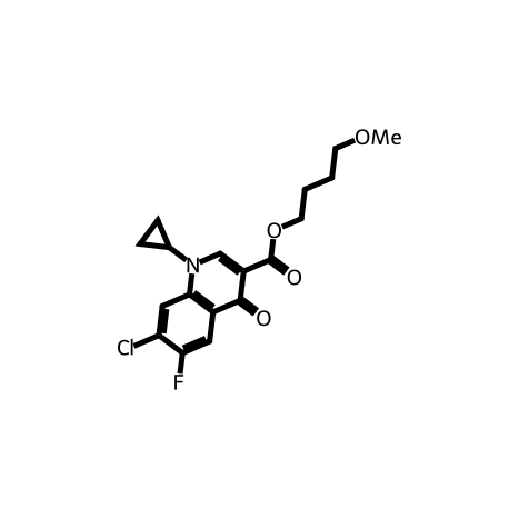 COCCCCOC(=O)c1cn(C2CC2)c2cc(Cl)c(F)cc2c1=O